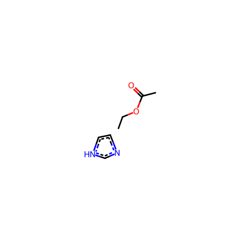 CCOC(C)=O.c1c[nH]cn1